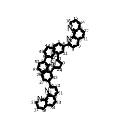 C1=C(c2cccc(-c3ccc4ccc5cccnc5c4n3)c2)[Si]2(C(c3cccc(-c4ccc5ccc6cccnc6c5n4)c3)=C1)c1ccccc1-c1ccccc12